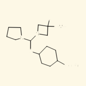 CCOC(=O)C1CCC(OC(N2CCCC2)N2CC(CC)(OC)C2)CC1